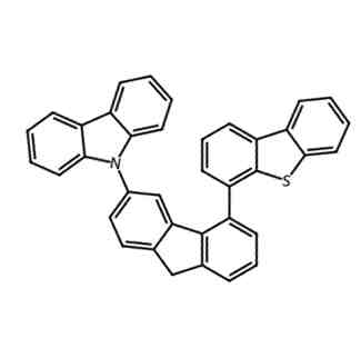 c1cc2c(c(-c3cccc4c3sc3ccccc34)c1)-c1cc(-n3c4ccccc4c4ccccc43)ccc1C2